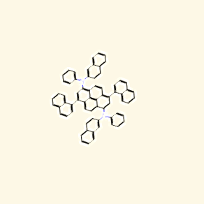 c1ccc(N(c2ccc3ccccc3c2)c2cc(-c3cccc4ccccc34)c3ccc4c(N(c5ccccc5)c5ccc6ccccc6c5)cc(-c5cccc6ccccc56)c5ccc2c3c54)cc1